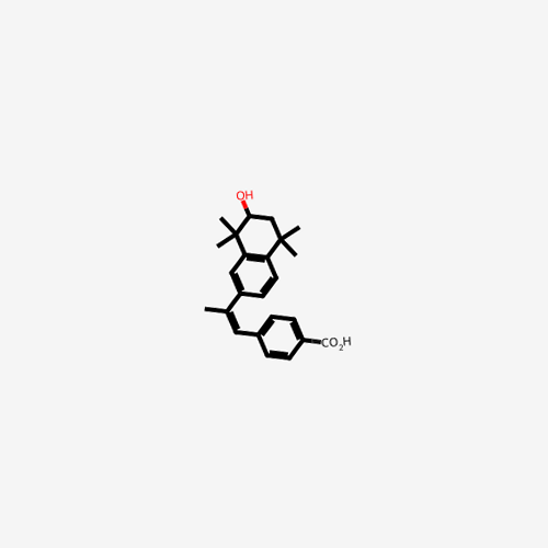 C/C(=C/c1ccc(C(=O)O)cc1)c1ccc2c(c1)C(C)(C)C(O)CC2(C)C